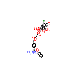 C[C@]12C=CC(=O)C=C1[C@@H](F)C[C@H]1[C@@H]3C[C@@H](O)[C@](O)(C(=O)COC(=O)CCC(=O)OCc4ccc([C@@H](CN)C(=O)Nc5ccc6ccccc6c5)cc4)[C@@]3(C)C[C@H](O)[C@@]12F